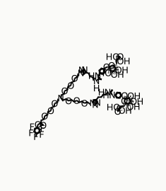 C=C(NCCCCc1cn(CCOCCOCCOCCN(CCOCCOCCOCCC(=O)Oc2c(F)c(F)c(F)c(F)c2F)CCOCCOCCOCCn2cc(CCCCNC(=C)Nc3ccc(O[C@H]4O[C@H](CCP(=O)(O)O)[C@@H](O)[C@H](O)[C@@H]4O)cc3)nn2)nn1)Nc1ccc(O[C@H]2O[C@H](CCP(=O)(O)O)[C@@H](O)[C@H](O)[C@@H]2O)cc1